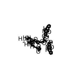 COc1cc2c(cc1OCCN(CCOc1cc3c(cc1OC)C(=O)N1Cc4ccccc4C[C@H]1C=N3)C(=O)OCc1ccc(NC(=O)[C@H](CCCNC(N)=O)NC(=O)[C@@H](NC(=O)CCCCCN3C(=O)C=CC3=O)C(C)C)cc1)N=C[C@@H]1Cc3ccccc3CN1C2=O